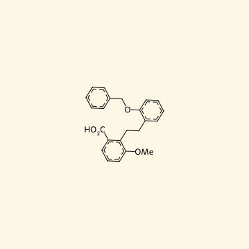 COc1cccc(C(=O)O)c1CCc1ccccc1OCc1ccccc1